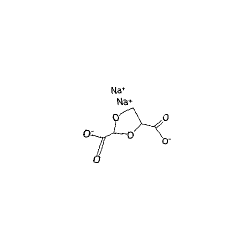 O=C([O-])C1COC(C(=O)[O-])O1.[Na+].[Na+]